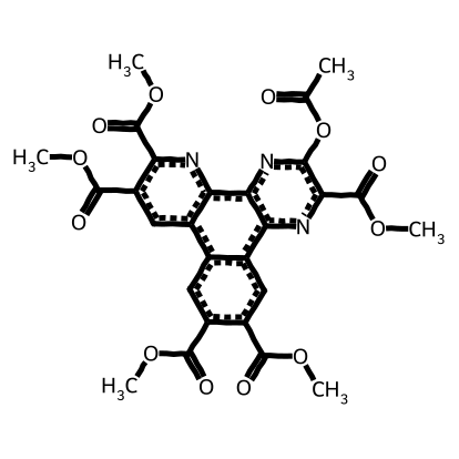 COC(=O)c1cc2c3cc(C(=O)OC)c(C(=O)OC)nc3c3nc(OC(C)=O)c(C(=O)OC)nc3c2cc1C(=O)OC